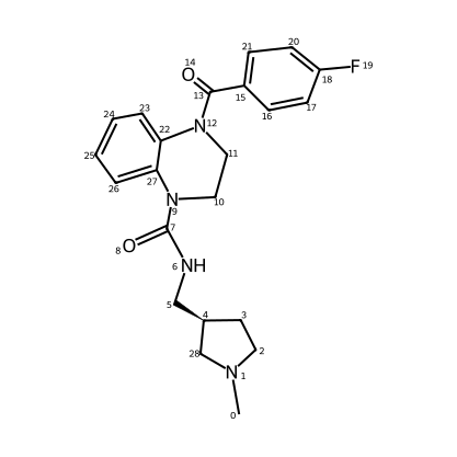 CN1CC[C@H](CNC(=O)N2CCN(C(=O)c3ccc(F)cc3)c3ccccc32)C1